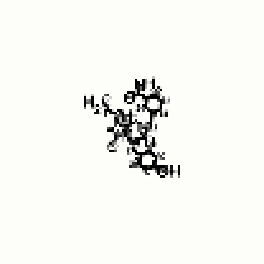 C=CCN1CC(=O)N2[C@@H]1CN(Cc1cccc(C(N)=O)c1)C(=O)[C@@H]2Cc1ccc(O)cc1